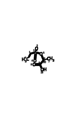 CCS(=O)(=O)O[C@H](C)C(=O)O